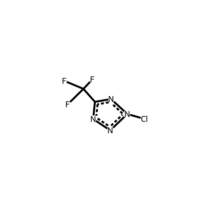 FC(F)(F)c1nnn(Cl)n1